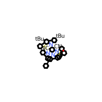 CC(C)(C)c1ccc2c(c1)c1cc(C(C)(C)C)c3c4ccccc4sc3c1n2-c1c(C#N)c(-n2c3ccccc3c3ccccc32)c(-n2c3ccc(-c4ccccc4)cc3c3ccc4c5ccccc5sc4c32)c(-n2c3ccccc3c3ccccc32)c1C#N